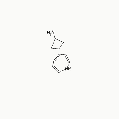 C1=CC=CNC=C1.NC1CCC1